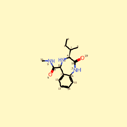 CCC(C)[C@@H]1NC(C(=O)NC)c2ccccc2NC1=O